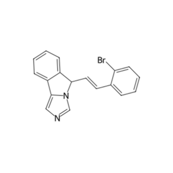 Brc1ccccc1C=CC1c2ccccc2-c2cncn21